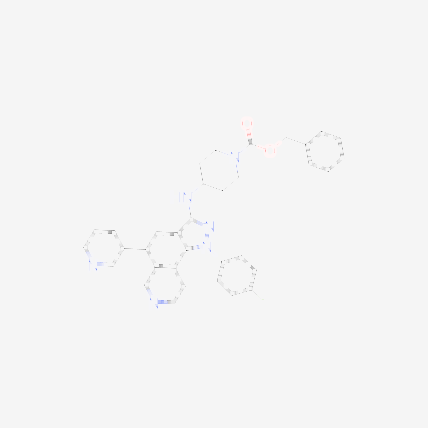 O=C(OCc1ccccc1)N1CCC(Nc2nn(-c3ccc(F)cc3)c3c2cc(-c2cccnc2)c2cnccc23)CC1